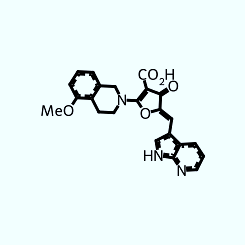 COc1cccc2c1CCN(C1=C(C(=O)O)C(=O)C(=Cc3c[nH]c4ncccc34)O1)C2